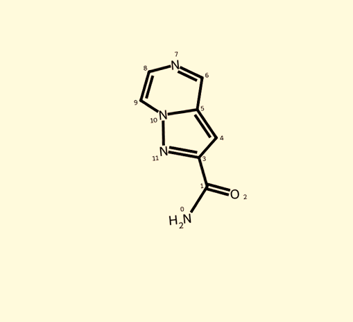 NC(=O)c1cc2cnccn2n1